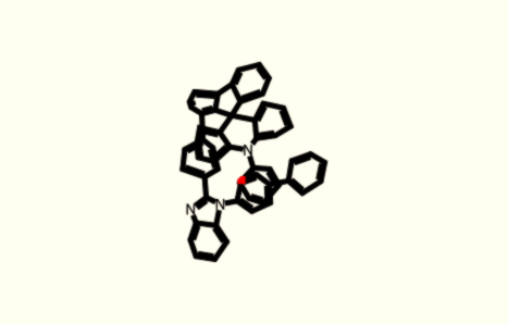 c1ccc(-c2ccc(-n3c(-c4ccc(-c5cccc6c5C5(c7ccccc7-6)c6ccccc6N(c6ccccc6)c6ccccc65)cc4)nc4ccccc43)cc2)cc1